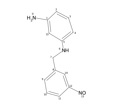 Nc1cccc(NCc2cccc(N=O)c2)c1